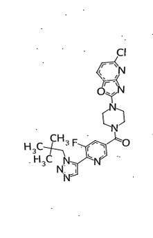 CC(C)(C)Cn1nncc1-c1ncc(C(=O)N2CCN(c3nc4nc(Cl)ccc4o3)CC2)cc1F